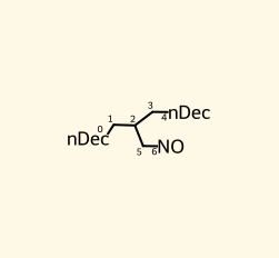 CCCCCCCCCCCC(CCCCCCCCCCC)CN=O